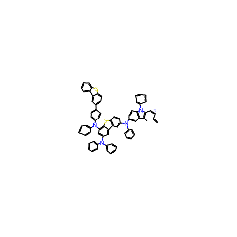 C=C/C=C\c1c(C)c2cc(N(c3ccccc3)c3ccc4sc5c(N(c6ccccc6)c6ccc(-c7ccc8sc9ccccc9c8c7)cc6)cc(N(c6ccccc6)c6ccccc6)cc5c4c3)ccc2n1-c1ccccc1